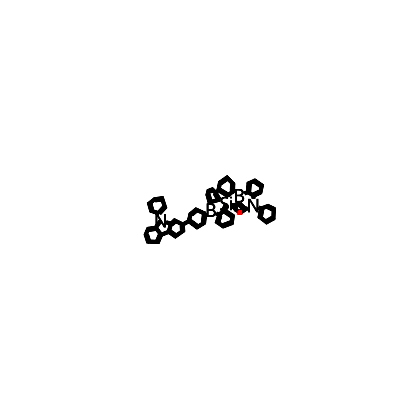 c1ccc(N2c3ccccc3B3c4ccccc4[Si]4(c5ccccc5B(c5ccc(-c6ccc7c8ccccc8n(-c8ccccc8)c7c6)cc5)c5ccccc54)c4cccc2c43)cc1